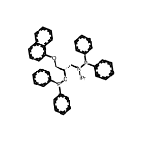 CC(C)N(C[C@@H](COc1cccc2ccccc12)OP(c1ccccc1)c1ccccc1)P(c1ccccc1)c1ccccc1